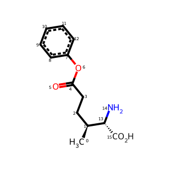 C[C@@H](CCC(=O)Oc1ccccc1)[C@H](N)C(=O)O